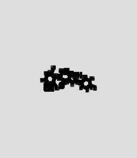 Cc1ccc(-c2cc3c(=O)n(-c4c(C)ccc(O)c4C)cnc3[nH]2)cc1